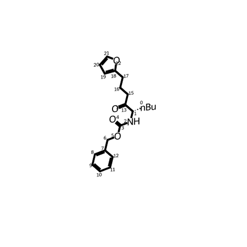 CCCC[C@H](NC(=O)OCc1ccccc1)C(=O)CCCc1ccco1